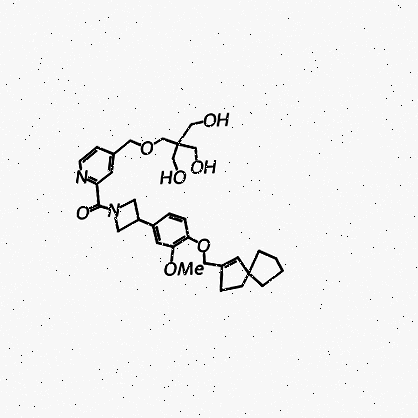 COc1cc(C2CN(C(=O)c3cc(COCC(CO)(CO)CO)ccn3)C2)ccc1OCC1=CC2(CCCC2)CC1